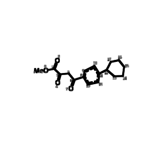 COC(=O)C(=O)CC(=O)c1ccc(C2CCCCC2)cc1